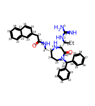 CCC(NC(=N)N)[C@H]1N[C@@H](CNC(=O)Cc2ccc3ccccc3c2)CCN(C(c2ccccc2)c2ccccc2)C1=O